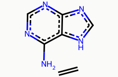 C=C.Nc1ncnc2nc[nH]c12